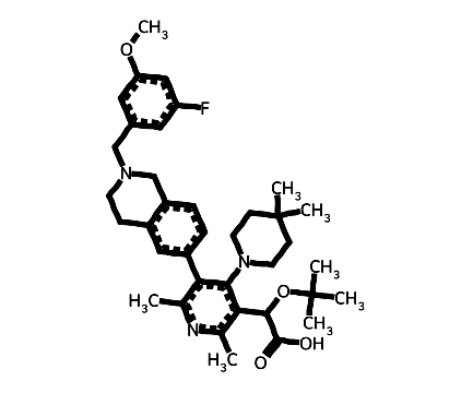 COc1cc(F)cc(CN2CCc3cc(-c4c(C)nc(C)c(C(OC(C)(C)C)C(=O)O)c4N4CCC(C)(C)CC4)ccc3C2)c1